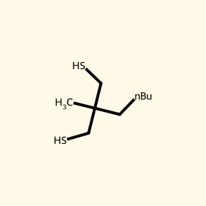 [CH2]CCCCC(C)(CS)CS